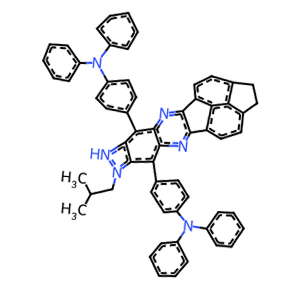 CC(C)Cn1[nH]c2c(-c3ccc(N(c4ccccc4)c4ccccc4)cc3)c3nc4c(nc3c(-c3ccc(N(c5ccccc5)c5ccccc5)cc3)c21)-c1ccc2c3c(ccc-4c13)CC2